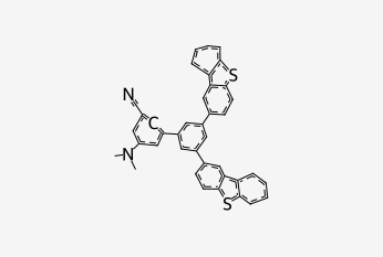 CN(C)c1cc(C#N)cc(-c2cc(-c3ccc4sc5ccccc5c4c3)cc(-c3ccc4sc5ccccc5c4c3)c2)c1